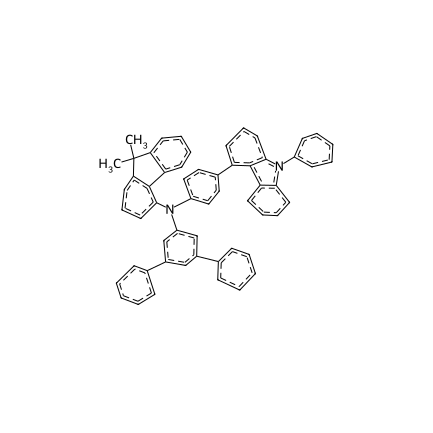 CC1(C)c2ccccc2-c2c(N(c3ccc(-c4cccc5c4c4ccccc4n5-c4ccccc4)cc3)c3cc(-c4ccccc4)cc(-c4ccccc4)c3)cccc21